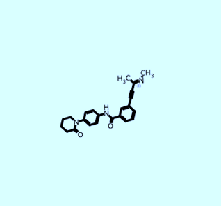 C/N=C(\C)C#Cc1cccc(C(=O)Nc2ccc(N3CCCCC3=O)cc2)c1